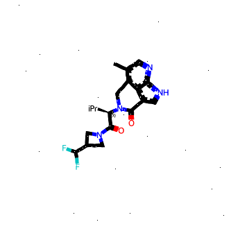 Cc1cnc2[nH]cc3c2c1CN([C@@H](C(=O)N1CC(C(F)F)C1)C(C)C)C3=O